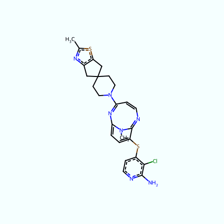 Cc1nc2c(s1)CC1(CCN(/C3=N/C4=CC=C(Sc5ccnc(N)c5Cl)/C(=N/C=C3)N4C)CC1)C2